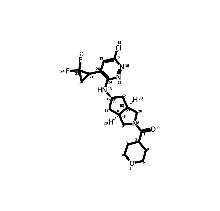 O=C(C1CCOCC1)N1C[C@H]2C[C@@H](Nc3nnc(Cl)cc3C3CC3(F)F)C[C@H]2C1